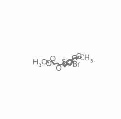 CCOC(=O)CCC(=O)c1cc2cc(Br)c(OCOC)cc2s1